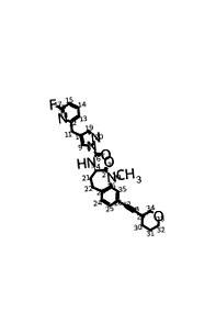 CN1C(=O)[C@@H](NC(=O)n2cc(Cc3cccc(F)n3)cn2)CCc2ccc(C#CC3CCCOC3)cc21